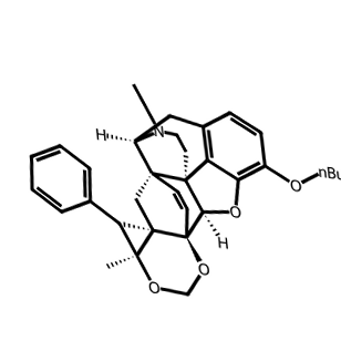 CCCCOc1ccc2c3c1O[C@H]1[C@@]45C=C[C@@]6(C[C@@]47C(c4ccccc4)[C@]7(C)OCO5)[C@@H](C2)N(C)CC[C@]316